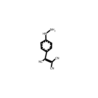 N#CC(C#N)=C(C#N)c1ccc(NN)cc1